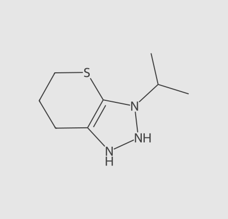 CC(C)N1NNC2=C1SCCC2